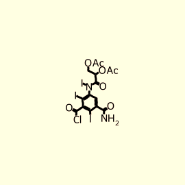 CC(=O)OCC(OC(C)=O)C(=O)N(I)c1cc(C(N)=O)c(I)c(C(=O)Cl)c1I